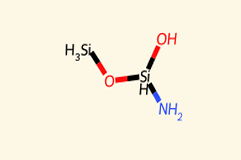 N[SiH](O)O[SiH3]